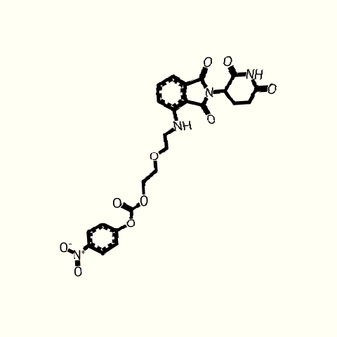 O=C1CCC(N2C(=O)c3cccc(NCCOCCOC(=O)Oc4ccc([N+](=O)[O-])cc4)c3C2=O)C(=O)N1